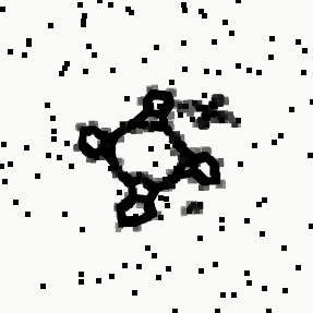 NS(N)(=O)=O.[Zn].c1ccc2c(c1)-c1nc-2nc2[nH]c(nc3nc(nc4[nH]c(n1)c1ccccc41)-c1ccccc1-3)c1ccccc21